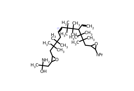 C=CC(C(C)(C)C(C)(C)/C=C\CC(C)(C)C(C)(C)CC1OC1CC(C)(N)O)C(C)(C)C(C)(C)CC1OC1CCC